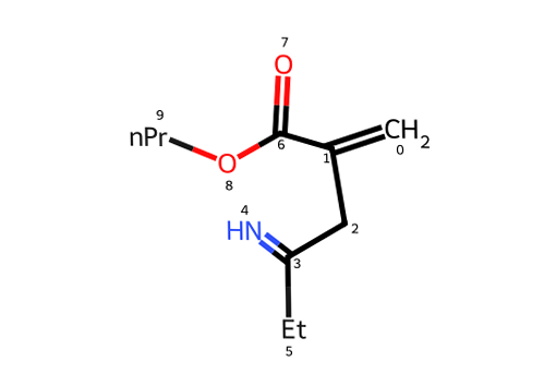 C=C(CC(=N)CC)C(=O)OCCC